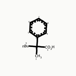 CCCCC(C)(C(=O)O)c1ccccc1